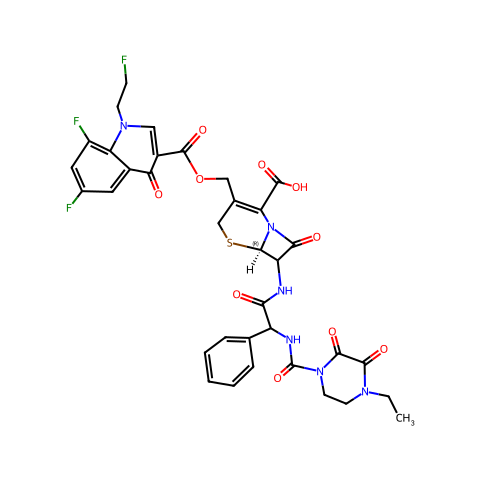 CCN1CCN(C(=O)NC(C(=O)NC2C(=O)N3C(C(=O)O)=C(COC(=O)c4cn(CCF)c5c(F)cc(F)cc5c4=O)CS[C@H]23)c2ccccc2)C(=O)C1=O